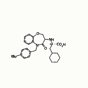 CC(C)(C)c1ccc(CN2C(=O)C(N[C@@H](CC3CCCCC3)C(=O)O)COc3ccccc32)cc1